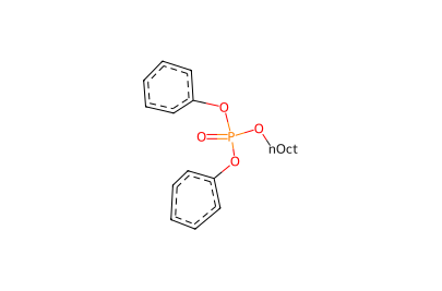 CCCCCCCCOP(=O)(Oc1ccccc1)Oc1ccccc1